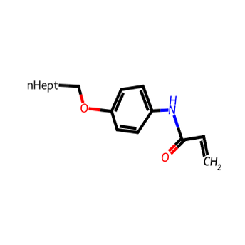 C=CC(=O)Nc1ccc(OCCCCCCCC)cc1